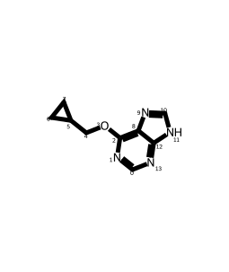 c1nc(OCC2CC2)c2nc[nH]c2n1